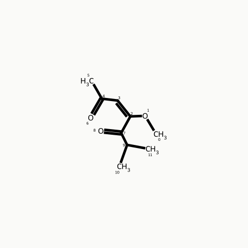 CO/C(=C/C(C)=O)C(=O)C(C)C